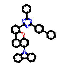 c1ccc(-c2ccc(-c3nc(-c4ccccc4)nc(-c4cccc5c4Oc4ccc(-n6c7ccccc7c7ccccc76)c6cccc-5c46)n3)cc2)cc1